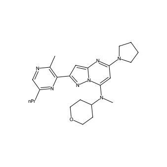 CCCc1cnc(C)c(-c2cc3nc(N4CCCC4)cc(N(C)C4CCOCC4)n3n2)n1